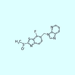 C[S+]([O-])c1nc2ccc(Cn3cnc4cccnc43)c(F)c2s1